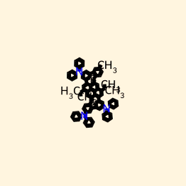 Cc1ccc2c(c1)-c1cc(N(c3ccccc3)c3ccccc3)cc3c1B2c1cc2c(C(C)C)cc4c5c(cc6c(C(C)C)cc-3c1c6c25)B1c2ccc(N(c3ccccc3)c3ccccc3)cc2-c2cc(N(c3ccccc3)c3ccccc3)cc-4c21